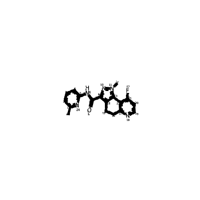 Cc1cccc(NC(=O)c2nn(C)c3c2CCc2nccc(F)c2-3)n1